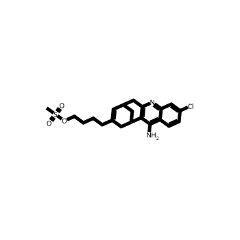 CS(=O)(=O)OCCCCC1=CC2Cc3nc4cc(Cl)ccc4c(N)c3C(C1)C2